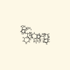 Cc1csc(C2NC(Cc3sc(C4NC=Nc5ccsc54)c(C)c3C)=NC3=C2CCCC3)c1C